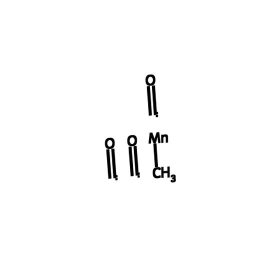 [CH3][Mn].[C]=O.[C]=O.[C]=O